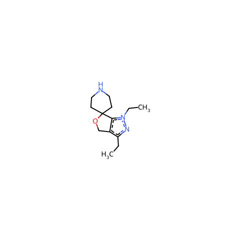 CCc1nn(CC)c2c1COC21CCNCC1